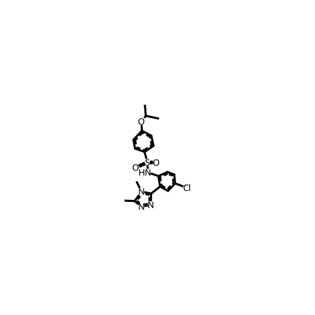 Cc1nnc(-c2cc(Cl)ccc2NS(=O)(=O)c2ccc(OC(C)C)cc2)n1C